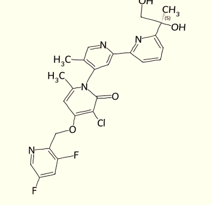 Cc1cnc(-c2cccc([C@](C)(O)CO)n2)cc1-n1c(C)cc(OCc2ncc(F)cc2F)c(Cl)c1=O